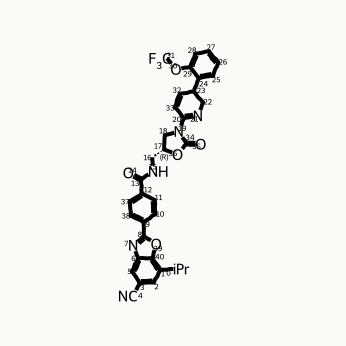 CC(C)c1cc(C#N)cc2nc(-c3ccc(C(=O)NC[C@@H]4CN(C5=NCC(c6ccccc6OC(F)(F)F)C=C5)C(=O)O4)cc3)oc12